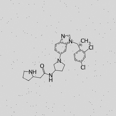 C[C@H](c1ccc(Cl)cc1Cl)n1cnc2ccc(N3CCC(NC(=O)CC4CCCN4)C3)cc21